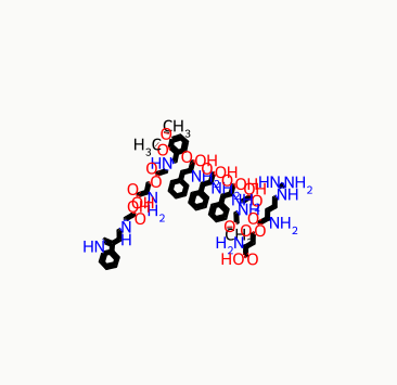 COCCNCC(=O)O.COc1cccc(CNCC(=O)OC[C@@H](N)C(=O)O)c1OC.N=C(N)NCCC[C@@H](N)C(=O)OC(=O)C[C@H](N)C(=O)O.N[C@@H](CC1CCCCC1)C(=O)O.N[C@@H](Cc1ccccc1)C(=O)O.N[C@H](Cc1ccccc1)C(=O)O.O=C(O)CNCCc1c[nH]c2ccccc12